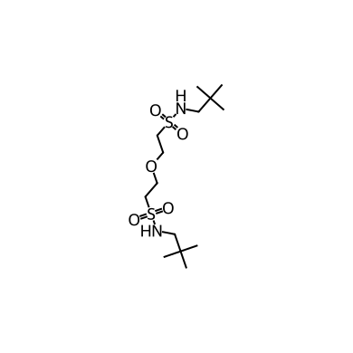 CC(C)(C)CNS(=O)(=O)CCOCCS(=O)(=O)NCC(C)(C)C